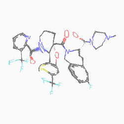 CCC[C@H]1N(C(=O)c2ncccc2C(F)(F)F)CCC[C@@]1(Oc1csc(C(F)(F)F)c1)C(=O)N1Cc2ccc(F)cc2C[C@H]1C(=O)N1CCN(C)CC1